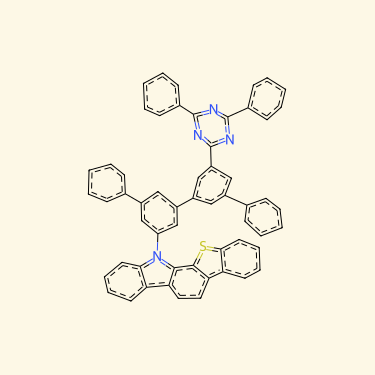 c1ccc(-c2cc(-c3cc(-c4ccccc4)cc(-n4c5ccccc5c5ccc6c7ccccc7sc6c54)c3)cc(-c3nc(-c4ccccc4)nc(-c4ccccc4)n3)c2)cc1